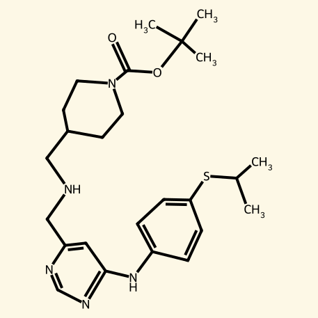 CC(C)Sc1ccc(Nc2cc(CNCC3CCN(C(=O)OC(C)(C)C)CC3)ncn2)cc1